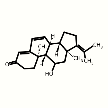 CC(C)=C1CC[C@H]2[C@@H]3C=CC4=CC(=O)CC[C@]4(C)[C@H]3C(O)C[C@]12C